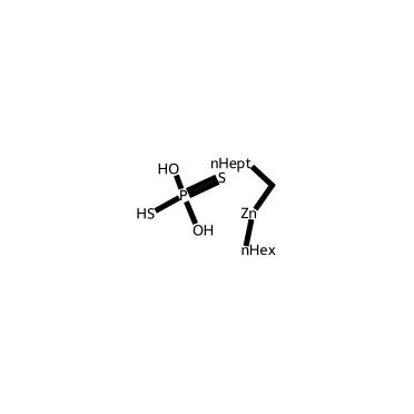 CCCCCCC[CH2][Zn][CH2]CCCCC.OP(O)(=S)S